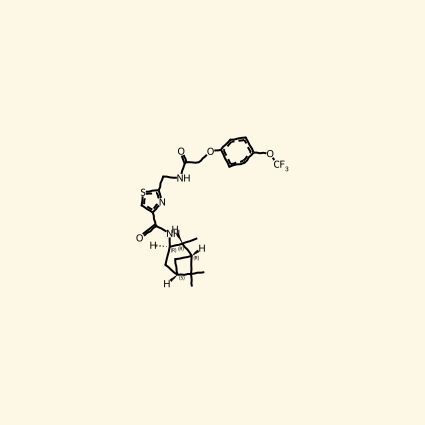 C[C@@H]1[C@H]2C[C@@H](C[C@H]1NC(=O)c1csc(CNC(=O)COc3ccc(OC(F)(F)F)cc3)n1)C2(C)C